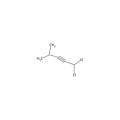 [CH2]C(C)C#CC(Cl)Cl